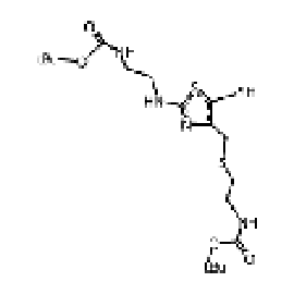 CC(C)(C)OC(=O)NCCNc1nc(CSCCNC(=O)OC(C)(C)C)c(S)s1